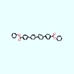 O=C(Oc1ccccc1)c1ccc(-c2ccc(-c3ccc(-c4ccc(C(=O)Oc5ccccc5)cc4)cc3)cc2)cc1